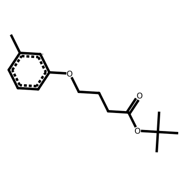 Cc1[c]c(OCCCC(=O)OC(C)(C)C)ccc1